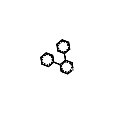 [c]1ccc(-c2ccncc2-c2ccccc2)cc1